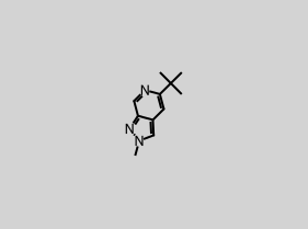 Cn1cc2cc(C(C)(C)C)ncc2n1